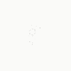 O=[SH](=O)Cc1ccc(O)c(CO)c1